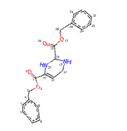 O=C(OCc1ccccc1)C1=CCNC(C(=O)OCc2ccccc2)N1